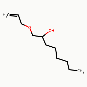 C=CCOCC(O)CCCCCC